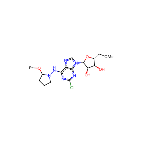 CCOC1CCCN1Nc1nc(Cl)nc2c1ncn2[C@H]1O[C@H](COC)[C@@H](O)[C@H]1O